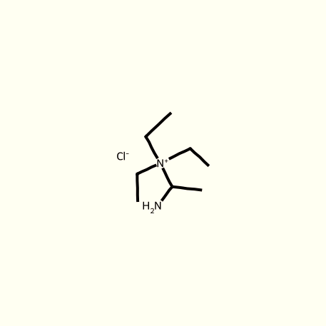 CC[N+](CC)(CC)C(C)N.[Cl-]